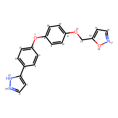 c1cc(-c2ccc(Oc3ccc(OCc4ccno4)cc3)cc2)[nH]n1